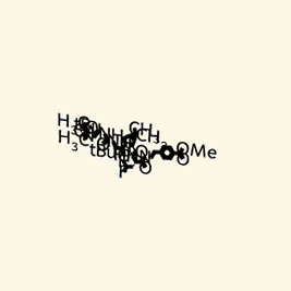 COC(=O)c1ccc(CCNC(=O)[C@H](CC(F)F)NC(=O)[C@@H]2C3C(CN2C(=O)[C@@H](NC(=O)N[C@H](CN(C)S(C)(=O)=O)C(C)(C)C)C(C)(C)C)C3(C)C)cc1